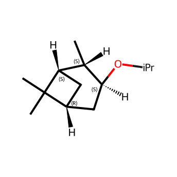 CC(C)O[C@H]1C[C@H]2C[C@@H]([C@@H]1C)C2(C)C